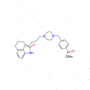 COC(=O)c1ccc(CN2CCN(CCCCC34CCCc5cccc(c53)NC4=O)CC2)cc1